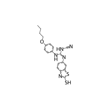 CCCCOc1ccc(N/C(=N\c2ccc3nc(S)sc3c2)NC#N)cc1